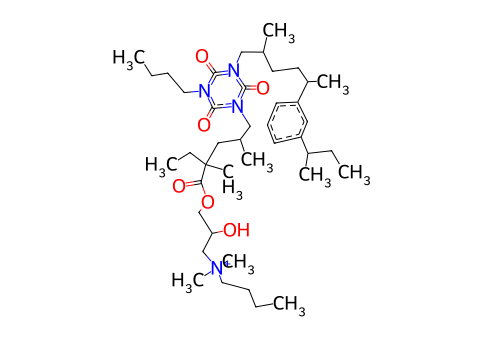 CCCCn1c(=O)n(CC(C)CCC(C)c2cccc(C(C)CC)c2)c(=O)n(CC(C)CC(C)(CC)C(=O)OCC(O)C[N+](C)(C)CCCC)c1=O